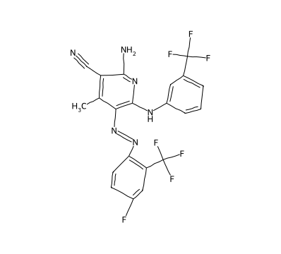 Cc1c(C#N)c(N)nc(Nc2cccc(C(F)(F)F)c2)c1/N=N/c1ccc(F)cc1C(F)(F)F